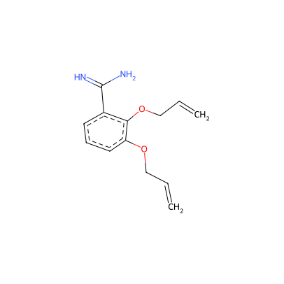 C=CCOc1cccc(C(=N)N)c1OCC=C